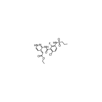 CCCS(=O)(=O)Nc1ccc(Cl)c(C(=O)NC2=NNC=C/S2=C\C(=O)OCC)c1F